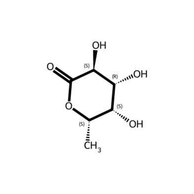 C[C@@H]1OC(=O)[C@@H](O)[C@H](O)[C@@H]1O